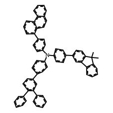 CC1(C)c2ccccc2-c2cc(-c3ccc(N(c4ccc(-c5ccc(-c6ccccc6)c(-c6ccccc6)c5)cc4)c4ccc(-c5cccc6c5ccc5ccccc56)cc4)cc3)ccc21